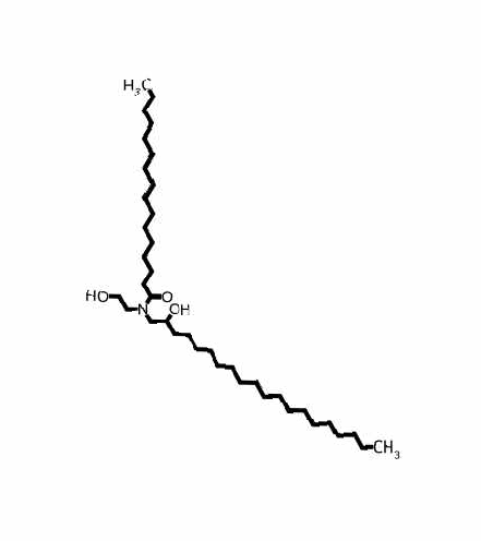 CCCCCCCCCCCCCCCCCCC(O)CN(CCO)C(=O)CCCCCCCCCCCCCCC